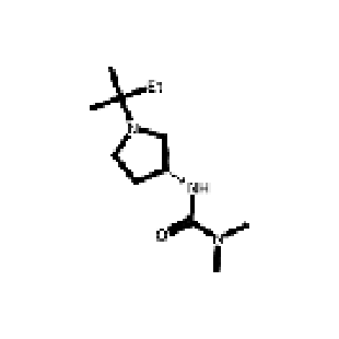 CCC(C)(C)N1CC[C@@H](NC(=O)N(C)C)C1